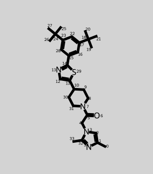 Cc1cn(CC(=O)N2CCC(c3cnc(-c4cc(C(C)(C)C)cc(C(C)(C)C)c4)s3)CC2)c(C)n1